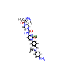 CC(C)(N)C(=O)N1CCN(C(=O)Nc2ccn(-c3ccc(CN(C4CC4)[C@H]4CC[C@H](N)CC4)cc3)c(=O)n2)CC1.Cl